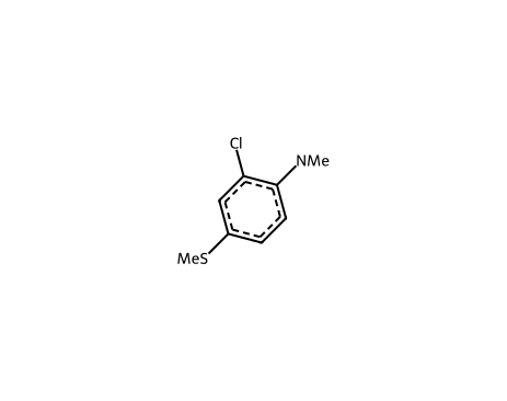 CNc1ccc(SC)cc1Cl